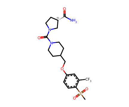 CS(=O)(=O)c1ccc(OCC2CCN(C(=O)N3CC[C@H](C(N)=O)C3)CC2)cc1C(F)(F)F